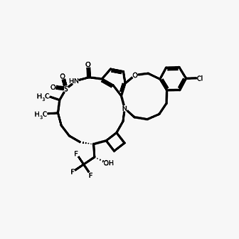 CC1CCC[C@@H]([C@H](O)C(F)(F)F)C2CCC2CN2CCCCc3cc(Cl)ccc3COc3ccc(cc32)C(=O)NS(=O)(=O)C1C